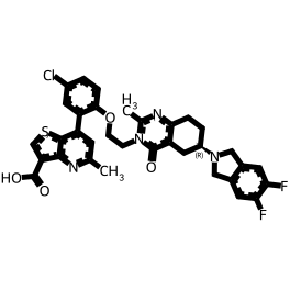 Cc1cc(-c2cc(Cl)ccc2OCCn2c(C)nc3c(c2=O)C[C@H](N2Cc4cc(F)c(F)cc4C2)CC3)c2scc(C(=O)O)c2n1